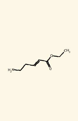 CCOC(=O)C=CCCN